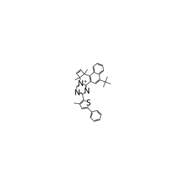 Cc1cc(-c2ccccc2)sc1-c1nc[n+]2c(n1)-c1cc(C(C)(C)C)c3ccccc3c1C1(C)C=CC21C